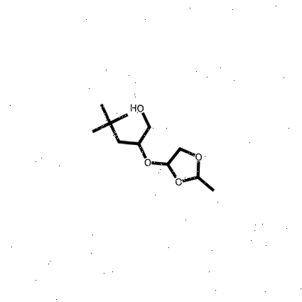 CC1OCC(OC(CO)CC(C)(C)C)O1